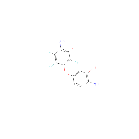 Nc1ccc(Oc2c(F)c(O)c(N)c(F)c2F)cc1O